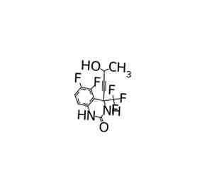 CC(O)C#CC1(C(F)(F)F)NC(=O)Nc2ccc(F)c(F)c21